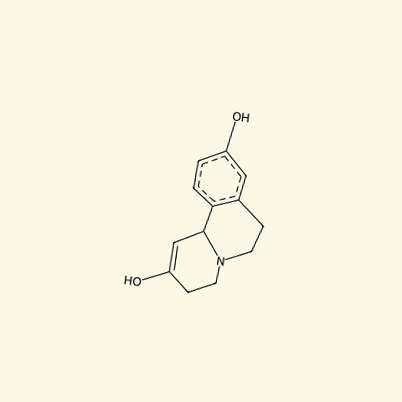 OC1=CC2c3ccc(O)cc3CCN2CC1